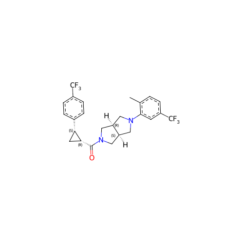 Cc1ccc(C(F)(F)F)cc1N1C[C@H]2CN(C(=O)[C@@H]3C[C@@H]3c3ccc(C(F)(F)F)cc3)C[C@H]2C1